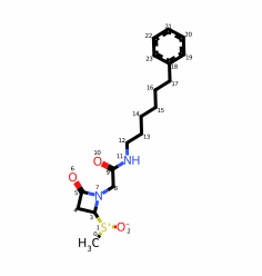 C[S+]([O-])C1CC(=O)N1CC(=O)NCCCCCCc1ccccc1